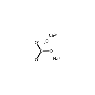 O.[Ca+2].[Na+].[O-]B([O-])[O-]